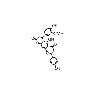 COc1cc(C2CC(=O)Oc3cc4c(c(O)c32)C(=O)CC(c2ccc(O)cc2)O4)ccc1O